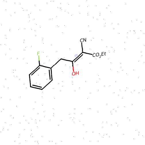 CCOC(=O)/C(C#N)=C(\O)Cc1ccccc1F